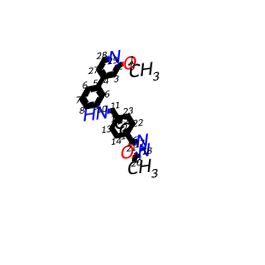 COc1cc(-c2cccc(NCC34CCC(c5nnc(C)o5)(CC3)CC4)c2)ccn1